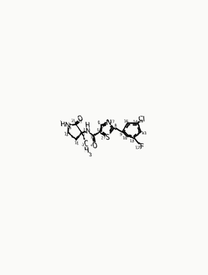 CC1(NC(=O)c2cnc(-c3cc(F)cc(Cl)c3)s2)CCNC1=O